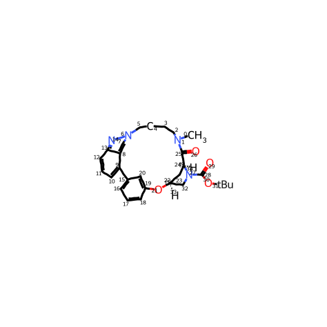 CN1CCCCn2cc3c(cccc3n2)-c2cccc(c2)O[C@H]2C[C@@H](C1=O)N(C(=O)OC(C)(C)C)C2